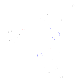 Cc1ccc(NC(=O)CC(CC2=CC(C)(C)O2)c2nnc(C3CC(CC(C)C)C3)n2C2CC2)c(C)c1